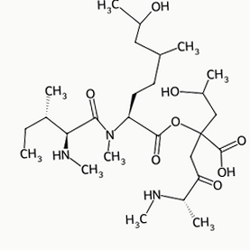 CC[C@H](C)[C@H](NC)C(=O)N(C)[C@@H](CCC(C)CC(C)O)C(=O)OC(CC(=O)[C@H](C)NC)(CC(C)O)C(=O)O